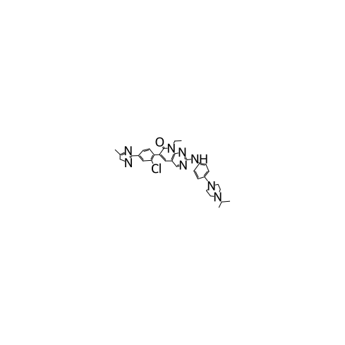 CCn1c(=O)c(-c2ccc(C3=NCC(C)=N3)cc2Cl)cc2cnc(Nc3ccc(N4CCN(C(C)C)CC4)cc3)nc21